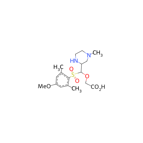 COc1cc(C)c(S(=O)(=O)C(OCC(=O)O)C2CN(C)CCN2)c(C)c1